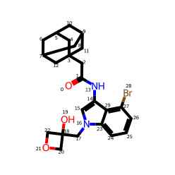 O=C(CC12CC3CC(CC(C3)C1)C2)Nc1cn(CC2(O)COC2)c2cccc(Br)c12